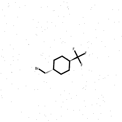 FC(F)(F)[C@H]1CC[C@H](CBr)CC1